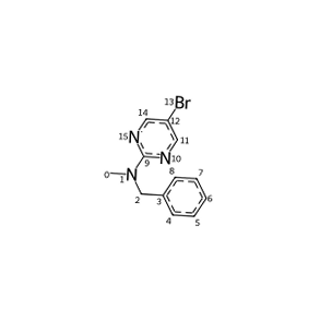 CN(Cc1ccccc1)c1ncc(Br)cn1